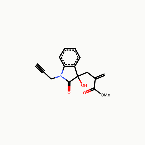 C#CCN1C(=O)C(O)(CC(=C)C(=O)OC)c2ccccc21